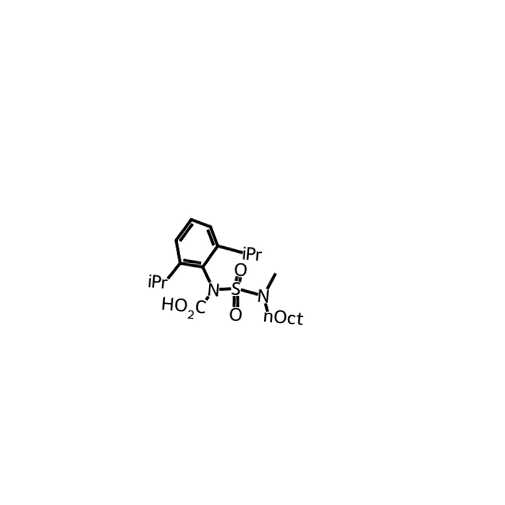 CCCCCCCCN(C)S(=O)(=O)N(C(=O)O)c1c(C(C)C)cccc1C(C)C